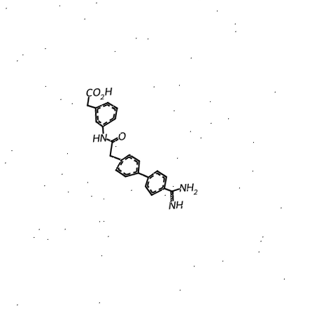 N=C(N)c1ccc(-c2ccc(CC(=O)Nc3cccc(CC(=O)O)c3)cc2)cc1